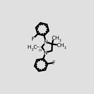 C[C@H]1N(c2ccccc2F)CC(C)(C)N1c1ccccc1F